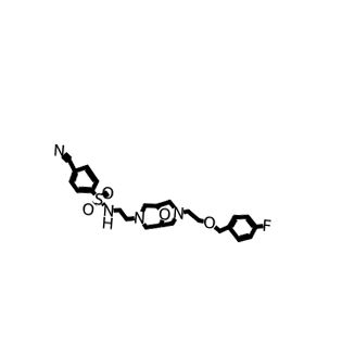 N#Cc1ccc(S(=O)(=O)NCCN2CC3CN(CCOCc4ccc(F)cc4)CC(C2)O3)cc1